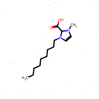 CCCCCCCCCN1C=CN(C)C1C(=O)O